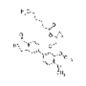 CCCCCC(=O)OC1(COc2c(-c3ccc4c(c3)CNC4=O)ccc(OC)c2OC)CC1